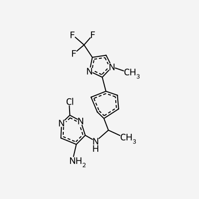 CC(Nc1nc(Cl)ncc1N)c1ccc(-c2nc(C(F)(F)F)cn2C)cc1